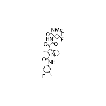 CNC(=O)C1(NC(=O)C(=O)c2c(C)c(C(=O)Nc3ccc(F)c(C)c3)n3c2CCC3)CC(F)(F)C1